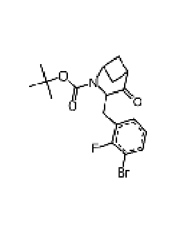 CC(C)(C)OC(=O)N1C2CC(C2)C(=O)C1Cc1cccc(Br)c1F